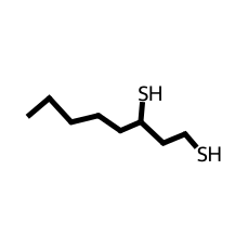 CCCCCC(S)CCS